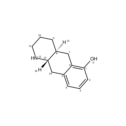 Oc1cccc2c1C[C@@H]1CCCN[C@H]1C2